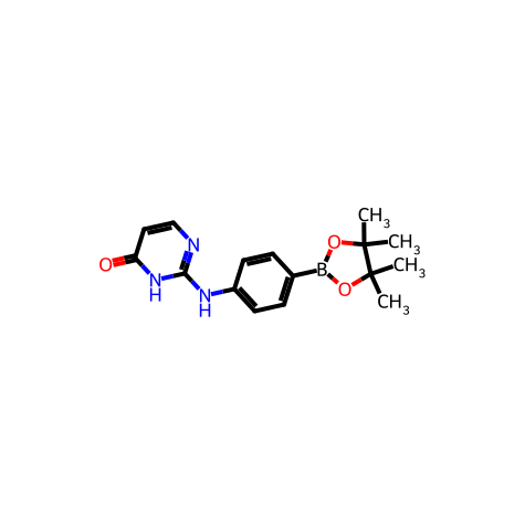 CC1(C)OB(c2ccc(Nc3nccc(=O)[nH]3)cc2)OC1(C)C